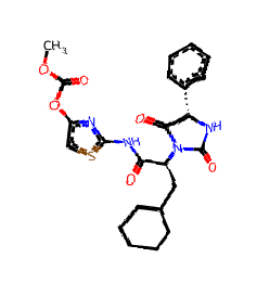 COC(=O)Oc1csc(NC(=O)[C@H](CC2CCCCC2)N2C(=O)N[C@@H](c3ccccc3)C2=O)n1